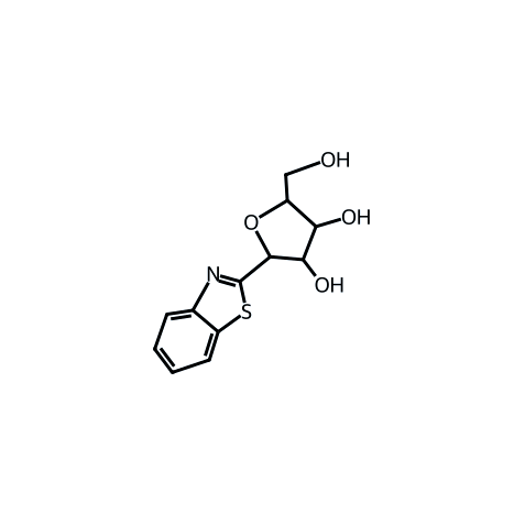 OCC1OC(c2nc3ccccc3s2)C(O)C1O